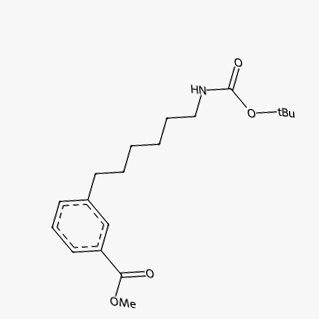 COC(=O)c1cccc(CCCCCCNC(=O)OC(C)(C)C)c1